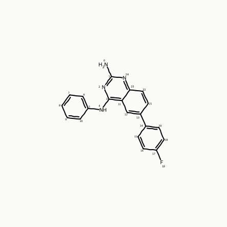 Nc1nc(Nc2ccccc2)c2cc(-c3ccc(F)cc3)ccc2n1